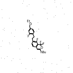 CCCCC1=Cc2ccc(CCc3ccc(COCC)cc3F)c(F)c2C(F)(F)O1